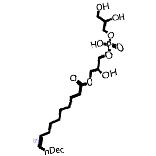 CCCCCCCCCC/C=C\CCCCCCCC(=O)OCC(O)COP(=O)(O)OCC(O)CO